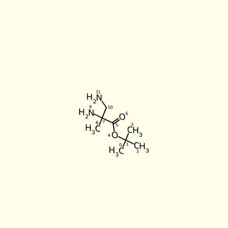 CC(C)(C)OC(=O)C(C)(N)CN